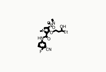 C=NS(=O)(=O)c1cn(C)c(C(=O)Nc2ccc(F)c(C#N)c2)c1OCCC(O)CC